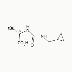 CC(C)(C)[C@H](NC(=O)NCC1CC1)C(=O)O